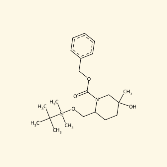 CC1(O)CCC(CO[Si](C)(C)C(C)(C)C)N(C(=O)OCc2ccccc2)C1